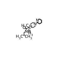 CC(C)CNC(=O)C(C)(C)N1CCN(c2ccccn2)CC1